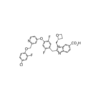 O=C(O)c1ccc2nc(Cc3cc(F)c(Oc4ccnc(COc5ccc(Cl)cc5F)c4)cc3F)n(C[C@@H]3CCO3)c2c1